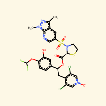 Cc1nn(C)c2ncc(S(=O)(=O)N3CCS[C@H]3C(=O)O[C@@H](Cc3c(Cl)c[n+]([O-])cc3Cl)c3ccc(OC(F)F)c(O)c3)cc12